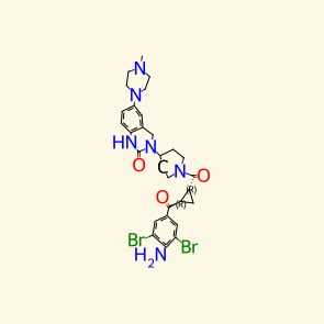 CN1CCN(c2ccc3c(c2)CN(C2CCN(C(=O)[C@@H]4C[C@H]4C(=O)c4cc(Br)c(N)c(Br)c4)CC2)C(=O)N3)CC1